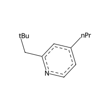 CCCc1ccnc(CC(C)(C)C)c1